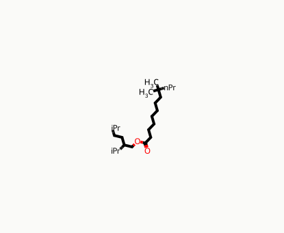 CCCC(C)(C)CCCCCCCC(=O)OCC(CCC(C)C)C(C)C